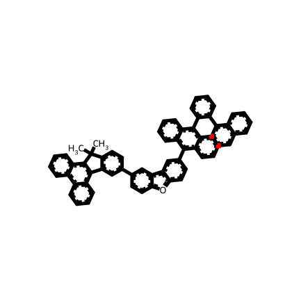 CC1(C)c2ccc(-c3ccc4oc5ccc(-c6c7ccccc7c(-c7ccccc7-c7cccc8ccccc78)c7ccccc67)cc5c4c3)cc2-c2c1c1ccccc1c1ccccc21